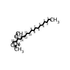 CCCCCCCCCCCCC/C=C/[C@H](OC)C1COC(C)=N1